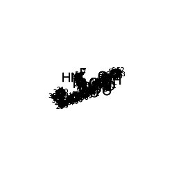 Cc1nc2[nH]cc(F)c2cc1Oc1cc(N2CCC3(CC2)CC(N2CCC[C@@H]2c2ccccc2C(C)C)C3)ccc1C(=O)NS(=O)(=O)c1cc2c(c([N+](=O)[O-])c1)N[C@@H](C1CCC(C)(C)CC1)CO2